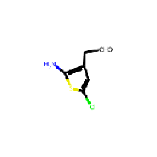 Nc1sc(Cl)cc1CC=O